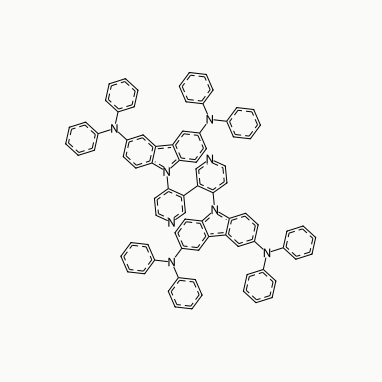 c1ccc(N(c2ccccc2)c2ccc3c(c2)c2cc(N(c4ccccc4)c4ccccc4)ccc2n3-c2ccncc2-c2cnccc2-n2c3ccc(N(c4ccccc4)c4ccccc4)cc3c3cc(N(c4ccccc4)c4ccccc4)ccc32)cc1